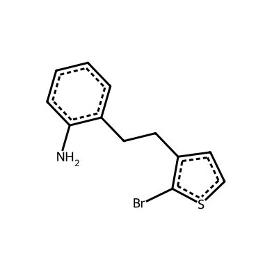 Nc1ccccc1CCc1ccsc1Br